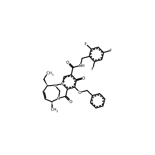 CC[C@@H]1C=C[C@H](C)N2CN1n1cc(C(=O)NCc3c(F)cc(F)cc3F)c(=O)c(OCc3ccccc3)c1C2=O